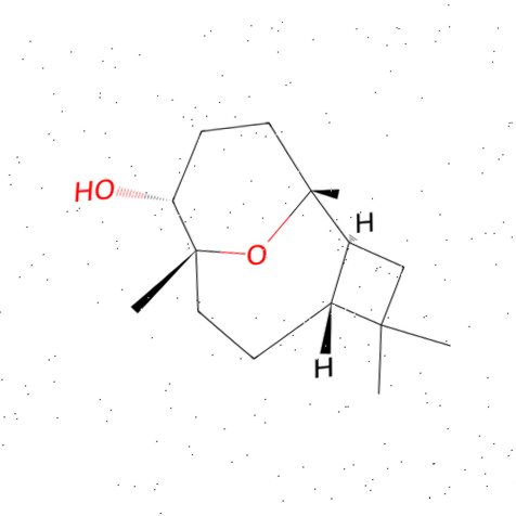 CC1(C)C[C@H]2[C@H]1CC[C@@]1(C)O[C@]2(C)CC[C@H]1O